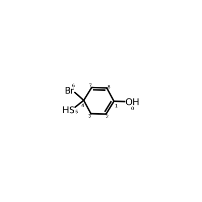 OC1=CCC(S)(Br)C=C1